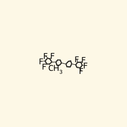 Cc1c(F)c(F)c(F)c(F)c1-c1ccc(-c2ccc(-c3cc(F)c(F)c(F)c3F)cc2)cc1